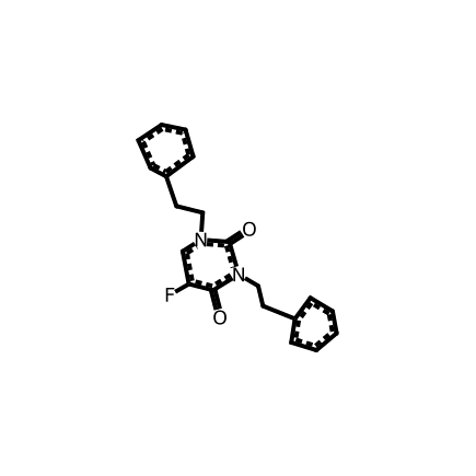 O=c1c(F)cn(CCc2ccccc2)c(=O)n1CCc1ccccc1